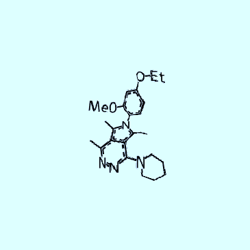 CCOc1ccc(-n2c(C)c3c(C)nnc(N4CCCCC4)c3c2C)c(OC)c1